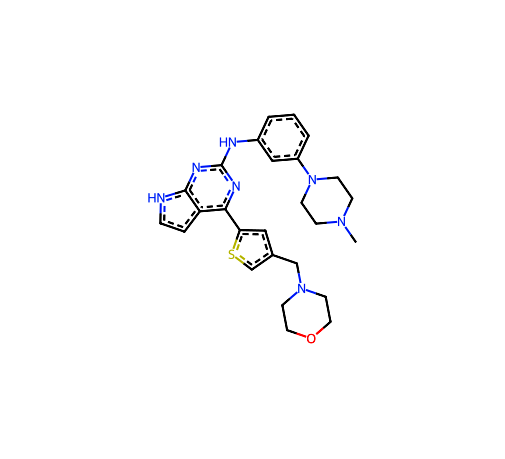 CN1CCN(c2cccc(Nc3nc(-c4cc(CN5CCOCC5)cs4)c4cc[nH]c4n3)c2)CC1